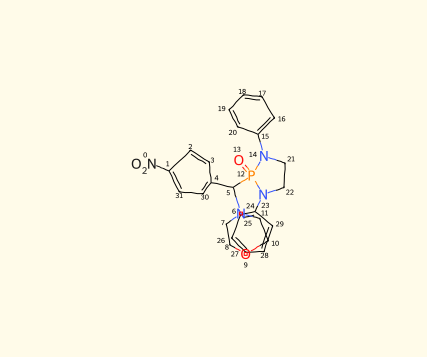 O=[N+]([O-])c1ccc(C(N2CCOCC2)P2(=O)N(c3ccccc3)CCN2c2ccccc2)cc1